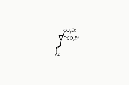 CCOC(=O)C1(C(=O)OCC)CC1C=CC(C)=O